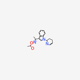 CC(=O)O/N=C(\C)c1cn(C2=NC=CCC2)c2ccccc12